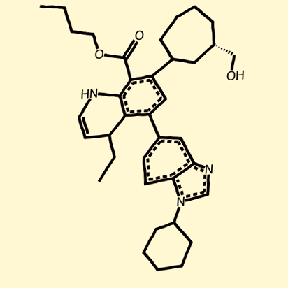 CCCCOC(=O)c1c(C2CCCC[C@H](CO)C2)cc(-c2ccc3c(c2)ncn3C2CCCCC2)c2c1NC=CC2CC